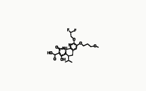 COCCCOc1cc2c(nc1OCC(F)F)-c1[nH]c(=O)c(C(=O)O)c(O)c1C(C(C)C)C2